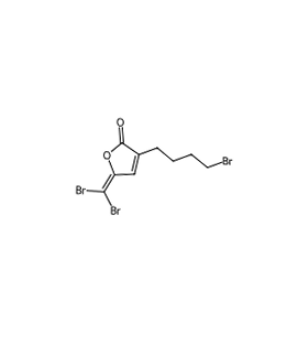 O=C1OC(=C(Br)Br)C=C1CCCCBr